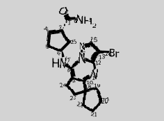 NC(=O)[C@H]1CC[C@H](Nc2c3c(nc4c(Br)cnn24)C2(CCCC2)CC3)C1